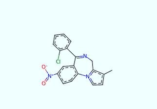 Cc1ccn2c1CN=C(c1ccccc1Cl)c1cc([N+](=O)[O-])ccc1-2